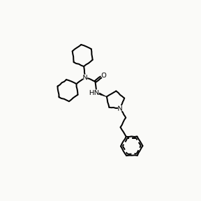 O=C(N[C@H]1CCN(CCc2ccccc2)C1)N(C1CCCCC1)C1CCCCC1